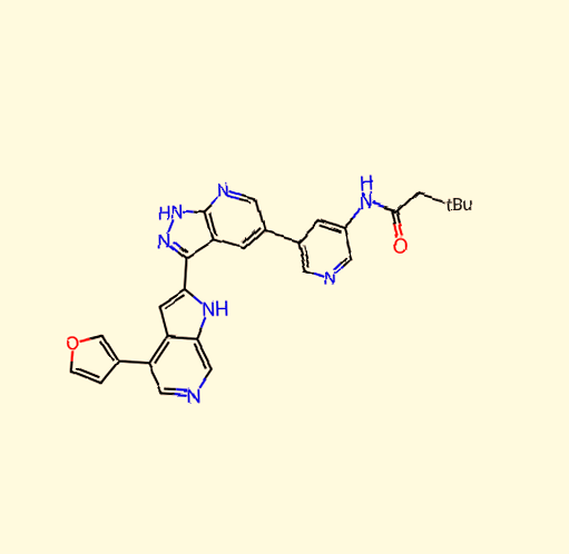 CC(C)(C)CC(=O)Nc1cncc(-c2cnc3[nH]nc(-c4cc5c(-c6ccoc6)cncc5[nH]4)c3c2)c1